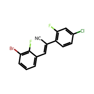 N#CC(=Cc1cccc(Br)c1F)c1ccc(Cl)cc1F